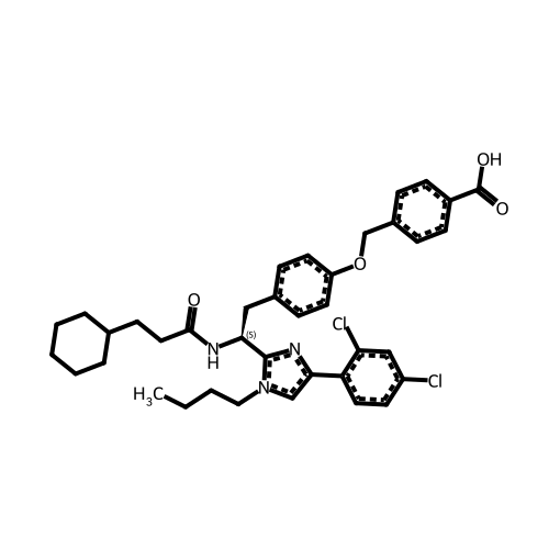 CCCCn1cc(-c2ccc(Cl)cc2Cl)nc1[C@H](Cc1ccc(OCc2ccc(C(=O)O)cc2)cc1)NC(=O)CCC1CCCCC1